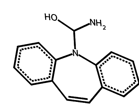 NC(O)N1c2ccccc2C=Cc2ccccc21